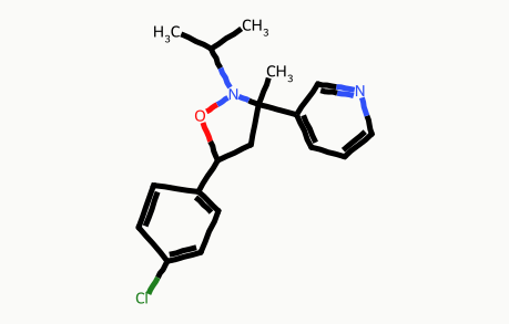 CC(C)N1OC(c2ccc(Cl)cc2)CC1(C)c1cccnc1